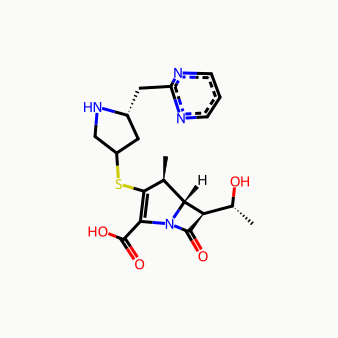 C[C@@H]1C(SC2CN[C@H](Cc3ncccn3)C2)=C(C(=O)O)N2C(=O)[C@H]([C@@H](C)O)[C@@H]12